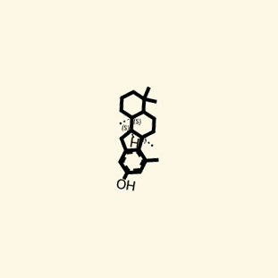 Cc1cc(O)cc2c1[C@]1(C)CCC3C(C)(C)CCC[C@]3(C)[C@@H]1C2